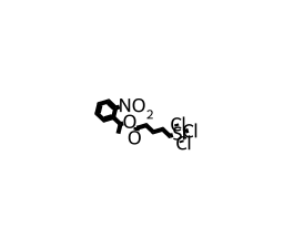 CC(OC(=O)CCCC[Si](Cl)(Cl)Cl)c1ccccc1[N+](=O)[O-]